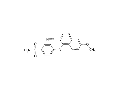 COc1ccc2c(Oc3ccc(S(N)(=O)=O)cc3)c(C#N)cnc2c1